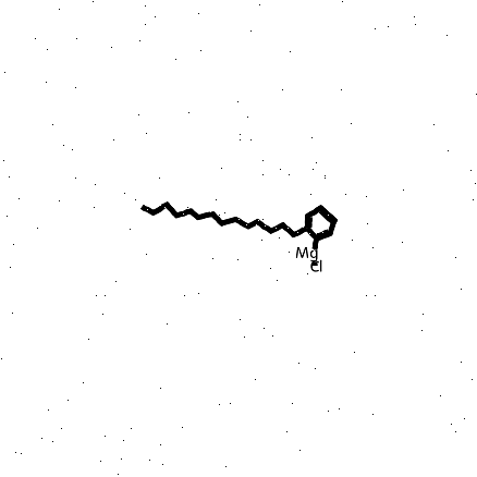 CCCCCCCCCCCCCCc1cccc[c]1[Mg][Cl]